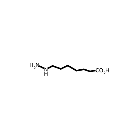 NNCCCCCCC(=O)O